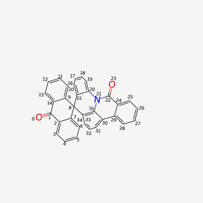 O=C1c2ccccc2C2(c3ccccc31)c1ccccc1-n1c(=O)c3ccccc3c3cccc2c31